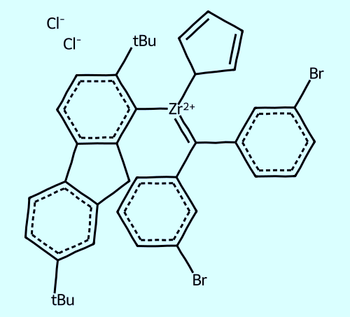 CC(C)(C)c1ccc2c(c1)Cc1c-2ccc(C(C)(C)C)[c]1[Zr+2](=[C](c1cccc(Br)c1)c1cccc(Br)c1)[CH]1C=CC=C1.[Cl-].[Cl-]